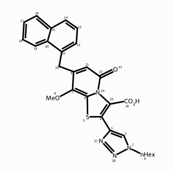 CCCCCCn1cc(-c2sc3c(OC)c(Cc4cccc5ccccc45)cc(=O)n3c2C(=O)O)nn1